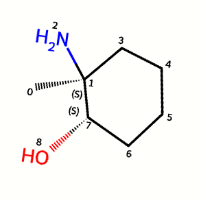 C[C@]1(N)CCCC[C@@H]1O